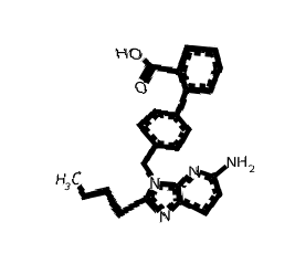 CCCCc1nc2ccc(N)nc2n1Cc1ccc(-c2ccccc2C(=O)O)cc1